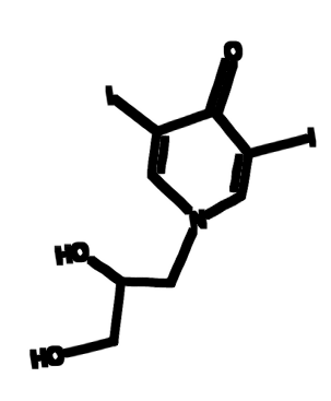 O=c1c(I)cn(CC(O)CO)cc1I